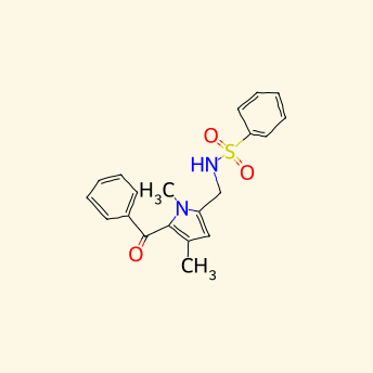 Cc1cc(CNS(=O)(=O)c2ccccc2)n(C)c1C(=O)c1ccccc1